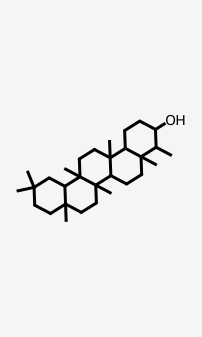 CC1C(O)CCC2C1(C)CCC1C2(C)CCC2(C)C3CC(C)(C)CCC3(C)CCC12C